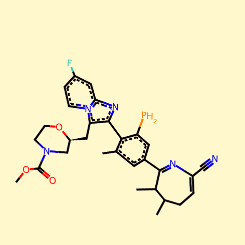 COC(=O)N1CCO[C@@H](Cc2c(-c3c(C)cc(C4=NC(C#N)=CCC(C)C4C)cc3P)nc3cc(F)ccn23)C1